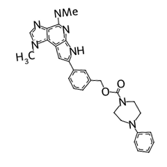 CNc1nc2[nH]c(-c3cccc(COC(=O)N4CCN(c5ccccc5)CC4)c3)cc2c2c1ncn2C